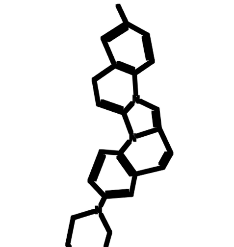 Cc1ccc2c(c1)CC=C1N2C=C2C=Cc3cc(N4CCCCC4)ccc3N21